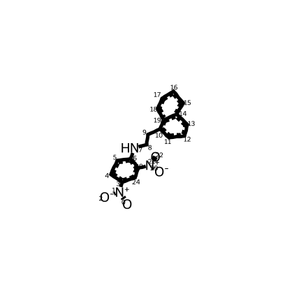 O=[N+]([O-])c1ccc(NCCc2cccc3ccccc23)c([N+](=O)[O-])c1